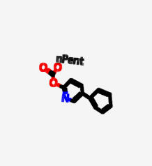 CCCCCOC(=O)Oc1ccc(-c2ccccc2)cn1